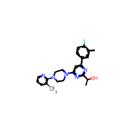 Cc1cc(-c2cc(N3CCN(c4ncccc4C(F)(F)F)CC3)nc(C(C)O)n2)ccc1F